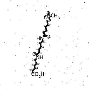 CS(=O)(=O)SCCCCCC(=O)NCCCCCC(=O)NCCCCCC(=O)O